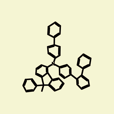 CC1(c2ccccc2)c2ccccc2-c2c(N(c3ccc(-c4ccccc4)cc3)c3ccc(-c4ccccc4-c4ccccc4)cc3)cccc21